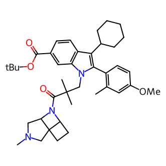 COc1ccc(-c2c(C3CCCCC3)c3ccc(C(=O)OC(C)(C)C)cc3n2CC(C)(C)C(=O)N2C3CCC34CN(C)CC24)c(C)c1